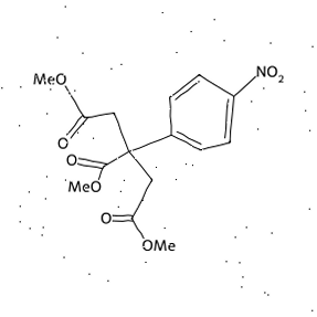 COC(=O)CC(CC(=O)OC)(C(=O)OC)c1ccc([N+](=O)[O-])cc1